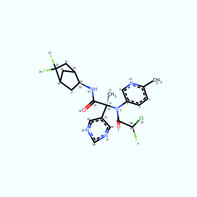 Cc1ccc(N(C(=O)[C@H](F)Cl)[C@](C)(C(=O)N[C@H]2CC3CC2CC3(F)F)c2cncnc2)cn1